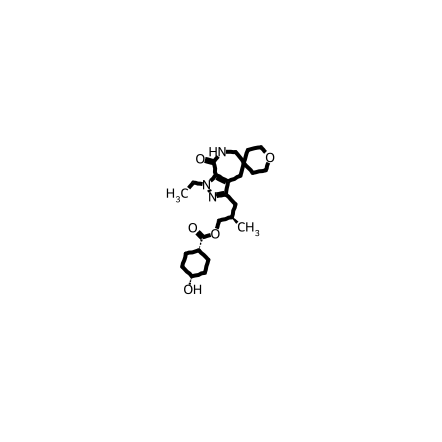 CCn1nc(C[C@@H](C)COC(=O)[C@H]2CC[C@@H](O)CC2)c2c1C(=O)NCC1(CCOCC1)C2